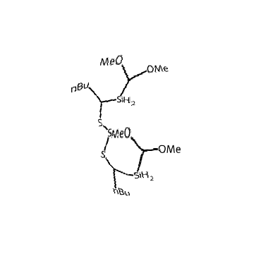 CCCCC([SiH2]C(OC)OC)SSSC(CCCC)[SiH2]C(OC)OC